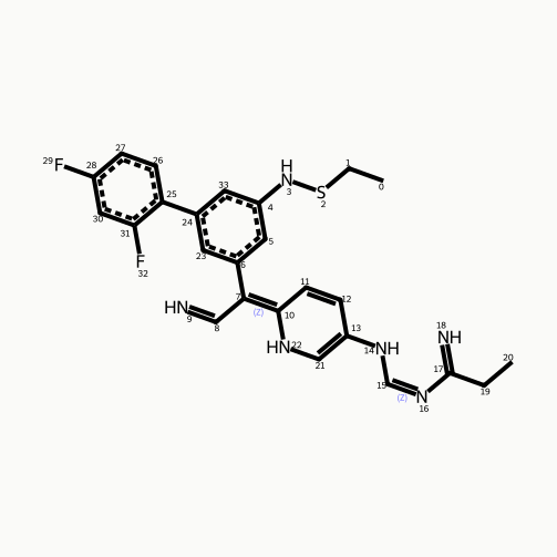 CCSNc1cc(/C(C=N)=C2\C=CC(N/C=N\C(=N)CC)=CN2)cc(-c2ccc(F)cc2F)c1